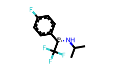 CC(C)N[C@@H](c1ccc(F)cc1)C(F)(F)F